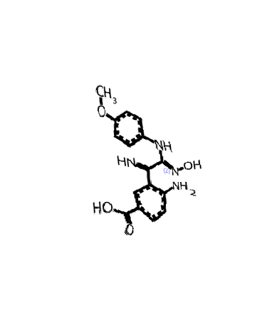 COc1ccc(N/C(=N\O)C(=N)c2cc(C(=O)O)ccc2N)cc1